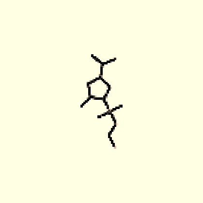 CCCS(C)(C)C1CC(C(C)C)CC1C